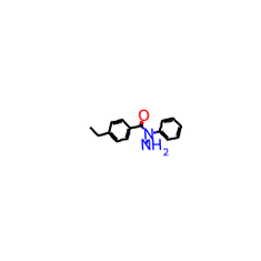 CCc1ccc(C(=O)N(N)c2ccccc2)cc1